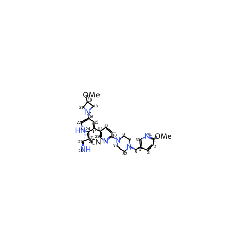 COc1ccc(CN2CCN(c3ccc(C4=CC(N5CC(OC)C5)=CN/C4=C(/C#N)C=N)cn3)CC2)cn1